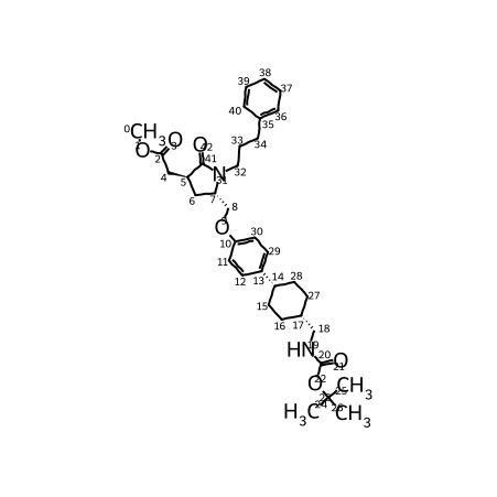 COC(=O)C[C@@H]1C[C@@H](COc2ccc([C@H]3CC[C@@H](CNC(=O)OC(C)(C)C)CC3)cc2)N(CCCc2ccccc2)C1=O